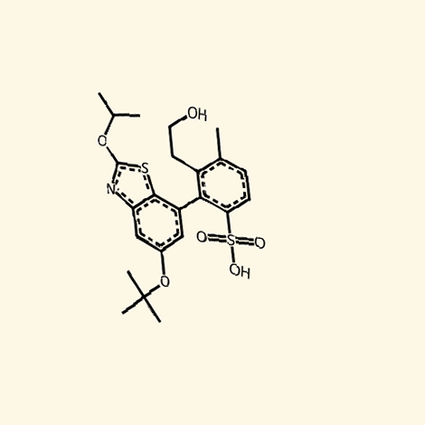 Cc1ccc(S(=O)(=O)O)c(-c2cc(OC(C)(C)C)cc3nc(OC(C)C)sc23)c1CCO